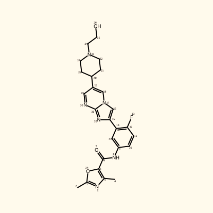 Cc1nc(C)c(C(=O)Nc2ccc(F)c(-c3cn4cc(C5CCN(CCO)CC5)cnc4n3)c2)o1